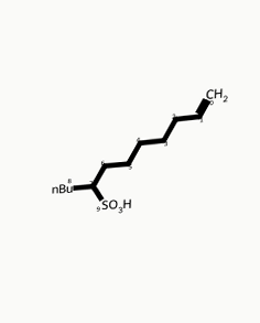 C=CCCCCCC(CCCC)S(=O)(=O)O